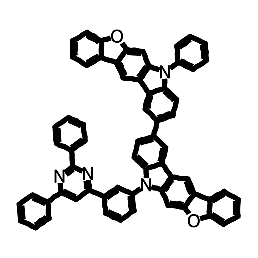 c1ccc(-c2cc(-c3cccc(-n4c5ccc(-c6ccc7c(c6)c6cc8c(cc6n7-c6ccccc6)oc6ccccc68)cc5c5cc6c(cc54)oc4ccccc46)c3)nc(-c3ccccc3)n2)cc1